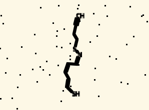 C#CCCS\N=C/C=C\C=C\S